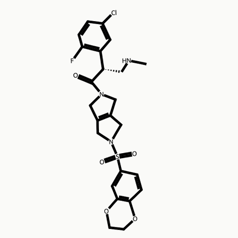 CNC[C@H](C(=O)N1CC2=C(C1)CN(S(=O)(=O)c1ccc3c(c1)OCCO3)C2)c1cc(Cl)ccc1F